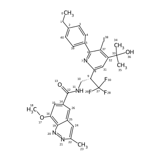 CCc1ccc(-c2nc([C@@H](CNC(=O)c3cc(OC)c4nnc(C)cc4c3)C(F)(F)F)cc(C(C)(C)O)c2I)cc1